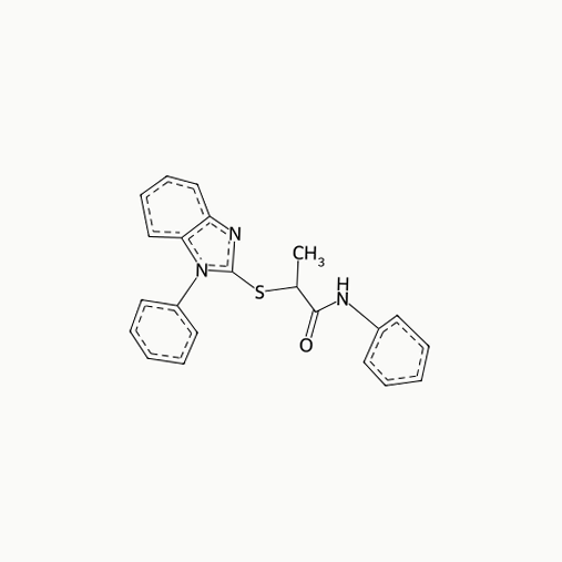 CC(Sc1nc2ccccc2n1-c1ccccc1)C(=O)Nc1ccccc1